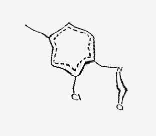 Cc1ccc(N=C=O)c(Cl)c1